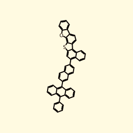 c1ccc(-c2c3ccccc3c(-c3ccc4cc(-c5cc6sc7c(ccc8c9ccccc9oc87)c6c6ccccc56)ccc4c3)c3ccccc23)cc1